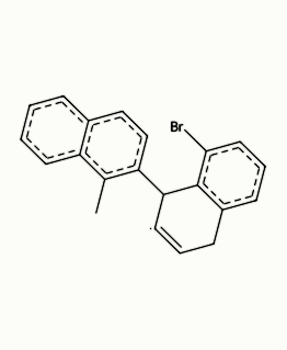 Cc1c(C2[C]=CCc3cccc(Br)c32)ccc2ccccc12